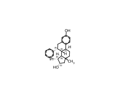 CC(C)[C@@H]1[C@H]2[C@H]3[C@H](CC[C@]2(C)C[C@@H]1O)c1ccc(O)cc1C[C@H]3c1ccccc1